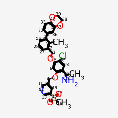 Cc1c(COc2cc(OCc3cncc(S(C)(=O)=O)c3)c(C(C)N)cc2Cl)cccc1-c1ccc2c(c1)OCCO2